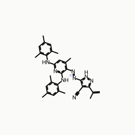 C=C(C)c1n[nH]c(/N=N/c2c(C)cc(Nc3c(C)cc(C)cc3C)nc2Nc2c(C)cc(C)cc2C)c1C#N